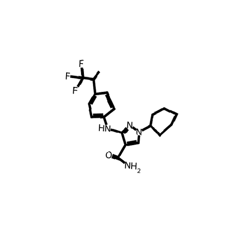 CC(c1ccc(Nc2nn(C3CCCCC3)cc2C(N)=O)cc1)C(F)(F)F